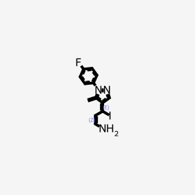 C=c1/c(=C(I)\C=C/N)cnn1-c1ccc(F)cc1